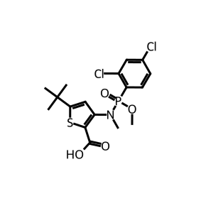 COP(=O)(c1ccc(Cl)cc1Cl)N(C)c1cc(C(C)(C)C)sc1C(=O)O